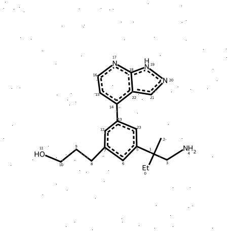 CCC(C)(CN)c1cc(CCCO)cc(-c2ccnc3[nH]ncc23)c1